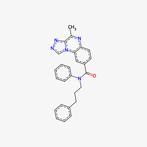 Cc1nc2ccc(C(=O)N(CCCc3ccccc3)c3ccccc3)cc2n2cnnc12